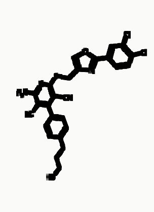 N#Cc1c(N)nc(SCc2coc(-c3ccc(Cl)c(Cl)c3)n2)c(C#N)c1-c1ccc(CCCO)cc1